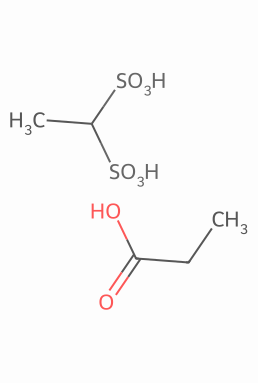 CC(S(=O)(=O)O)S(=O)(=O)O.CCC(=O)O